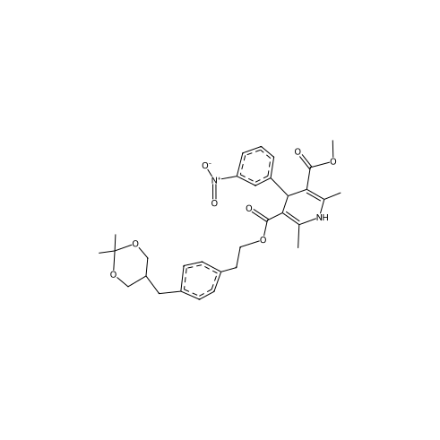 COC(=O)C1=C(C)NC(C)=C(C(=O)OCCc2ccc(CC3COC(C)(C)OC3)cc2)C1c1cccc([N+](=O)[O-])c1